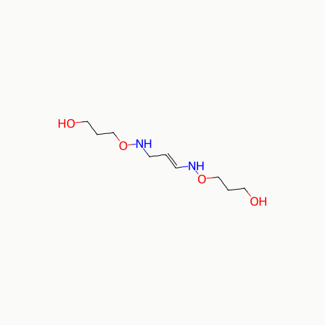 OCCCONC=CCNOCCCO